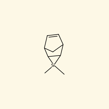 C[Si]1(C)C2C3C=CC(C3)C21